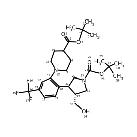 CC(C)(C)OC(=O)C1CCN(c2cc(C(F)(F)F)ccc2C2CN(C(=O)OC(C)(C)C)C[C@@H]2CO)CC1